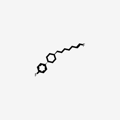 F/C=C/CCCCC[C@H]1CC[C@H](c2ccc(F)cc2)CC1